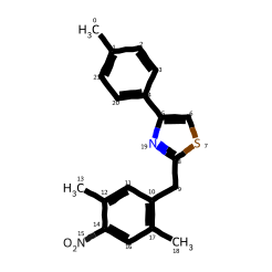 Cc1ccc(-c2csc(Cc3cc(C)c([N+](=O)[O-])cc3C)n2)cc1